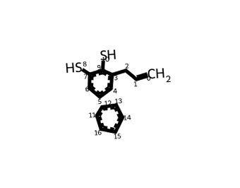 C=CCc1cccc(S)c1S.c1ccccc1